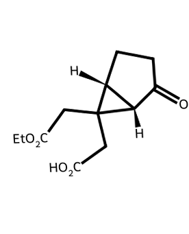 CCOC(=O)CC1(CC(=O)O)[C@@H]2CCC(=O)[C@@H]21